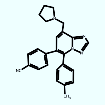 Cc1ccc(-c2c(-c3ccc(C#N)cc3)cc(CN3CCCC3)c3ncnn23)cc1